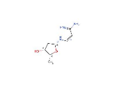 C[C@H]1O[C@@H](N/C=C\C(=N)N)C[C@H]1O